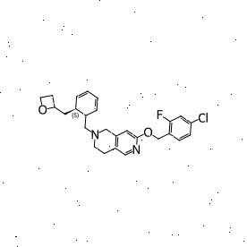 Fc1cc(Cl)ccc1COc1cc2c(cn1)CCN(CC1C=CC=C[C@@H]1CC1CCO1)C2